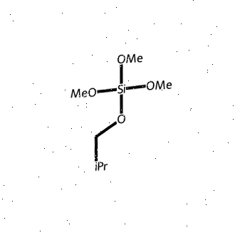 CO[Si](OC)(OC)OCC(C)C